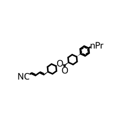 CCCc1ccc([C@H]2CC[C@H](C(=O)O[C@H]3CC[C@H](C=CC=CC#N)CC3)CC2)cc1